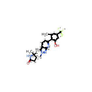 Cc1cc(C(F)(F)F)cc(O)c1-c1ccc2cn(C[C@@H]3CC(=O)NC3(C)C)nc2n1